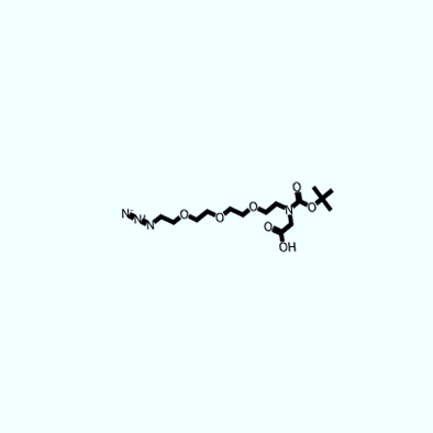 CC(C)(C)OC(=O)N(CCOCCOCCOCCN=[N+]=[N-])CC(=O)O